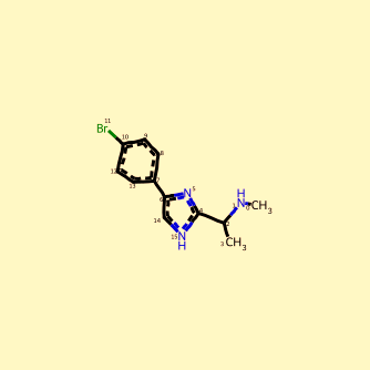 CNC(C)c1nc(-c2ccc(Br)cc2)c[nH]1